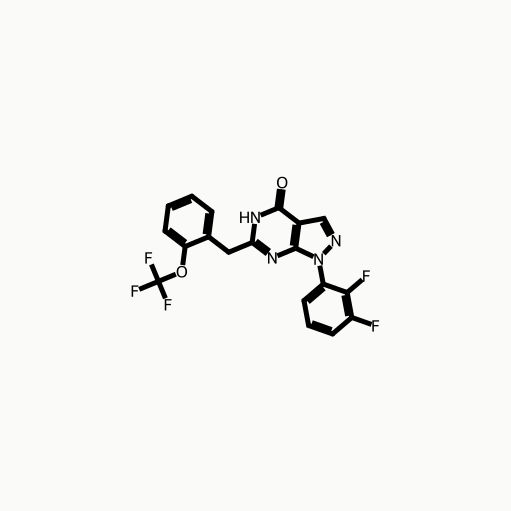 O=c1[nH]c(Cc2ccccc2OC(F)(F)F)nc2c1cnn2-c1cccc(F)c1F